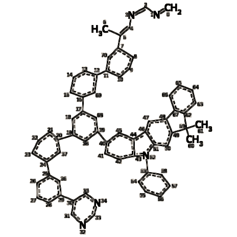 C=N/C=N\C=C(/C)c1cccc(-c2cccc(-c3cc(-c4cccc(-c5cccc(-c6cncnc6)c5)c4)cc(-c4ccc5c(c4)c4cc6c(cc4n5-c4ccccc4)C(C)(C)c4ccccc4-6)c3)c2)c1